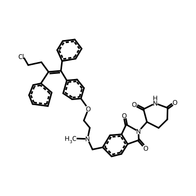 CN(CCOc1ccc(C(=C(CCCl)c2ccccc2)c2ccccc2)cc1)Cc1ccc2c(c1)C(=O)N(C1CCC(=O)NC1=O)C2=O